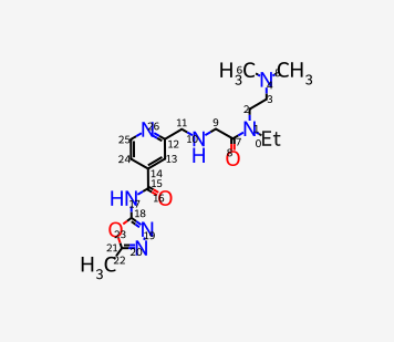 CCN(CCN(C)C)C(=O)CNCc1cc(C(=O)Nc2nnc(C)o2)ccn1